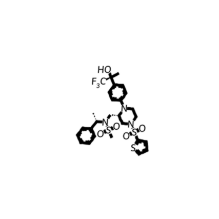 C[C@@H](c1ccccc1)N(C[C@H]1CN(S(=O)(=O)c2cccs2)CCN1c1ccc([C@@](C)(O)C(F)(F)F)cc1)S(C)(=O)=O